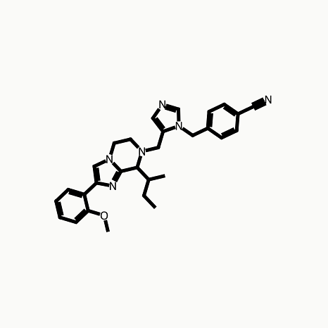 CCC(C)C1c2nc(-c3ccccc3OC)cn2CCN1Cc1cncn1Cc1ccc(C#N)cc1